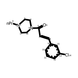 CCCN1CCN(C(=O)/C=C/c2cccc(Cl)c2)CC1